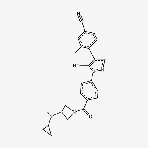 Cc1cc(C#N)ccc1-c1cnn(-c2ccc(C(=O)N3CC(N(C)C4CC4)C3)cn2)c1O